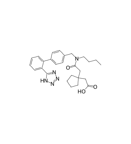 CCCCN(Cc1ccc(-c2ccccc2-c2nnn[nH]2)cc1)C(=O)CC1(CC(=O)O)CCCC1